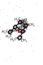 CCCCCCC1=Cc2c(-c3cc(C)cc(C)c3)ccc(-c3cc(C)cc(C)c3)c2[CH]1[Zr]([CH3])([CH3])(=[SiH2])[CH]1C(CCCCCC)=Cc2c(-c3cc(C)cc(C)c3)ccc(-c3cc(C)cc(C)c3)c21.Cl.Cl